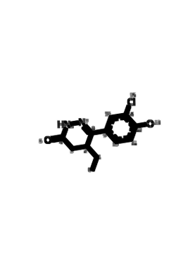 CCC1CC(=O)NN=C1c1ccc([O])c(Cl)c1